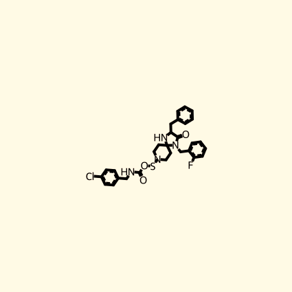 O=C(NCc1ccc(Cl)cc1)OSN1CCC2(CC1)NC(Cc1ccccc1)C(=O)N2Cc1ccccc1F